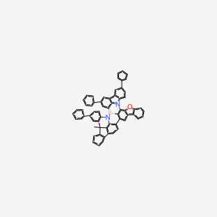 CC1(C)c2ccccc2-c2ccc3c(c21)N(c1ccc(-c2ccccc2)cc1)B1c2c-3cc3c(oc4ccccc43)c2-n2c3ccc(-c4ccccc4)cc3c3cc(-c4ccccc4)cc1c32